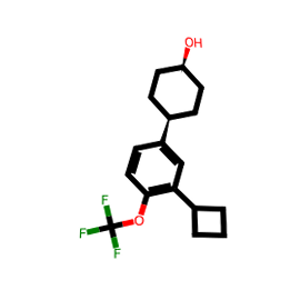 O[C@H]1CC[C@@H](c2ccc(OC(F)(F)F)c(C3CCC3)c2)CC1